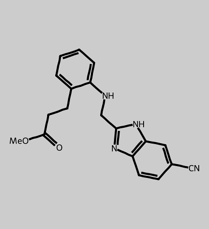 COC(=O)CCc1ccccc1NCc1nc2ccc(C#N)cc2[nH]1